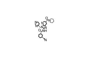 N#Cc1cccc(C(=O)Nc2nc3cc(C(=O)N4CCCCC4)cnc3n2Cc2ccncn2)c1